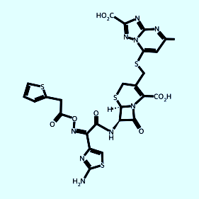 Cc1cc(SCC2=C(C(=O)O)N3C(=O)[C@@H](NC(=O)/C(=N\OC(=O)Cc4cccs4)c4csc(N)n4)[C@H]3SC2)n2nc(C(=O)O)nc2n1